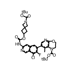 Cc1c(-c2cc3cc(NC(=O)OC4CC5(C4)CN(C(=O)OC(C)(C)C)C5)ncc3c(Cl)c2F)cnc2c1N(C(=O)OC(C)(C)C)CCO2